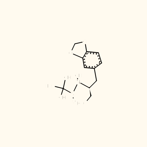 CC[C@H](Cc1ccc2c(c1)OCO2)N(C)[S@@+]([O-])C(C)(C)C